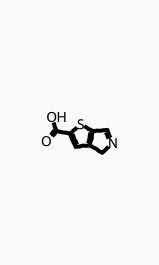 O=C(O)c1cc2c(s1)C=NC2